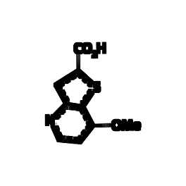 COc1ccnc2cc(C(=O)O)sc12